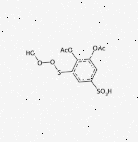 CC(=O)Oc1cc(S(=O)(=O)O)cc(SOOO)c1OC(C)=O